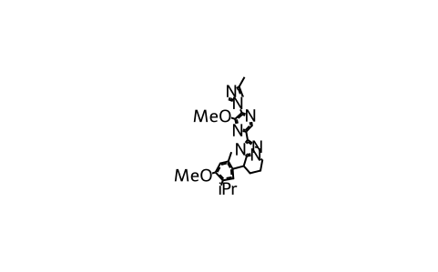 COc1cc(C)c(C2CCCn3nc(-c4cnc(-n5cnc(C)c5)c(OC)n4)nc32)cc1C(C)C